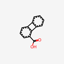 O=C(O)c1cccc2c1-c1ccccc1-2